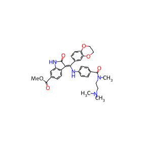 COC(=O)c1ccc2c(c1)NC(=O)C2=C(Nc1ccc(C(=O)N(C)CCN(C)C)cc1)c1ccc2c(c1)OCCO2